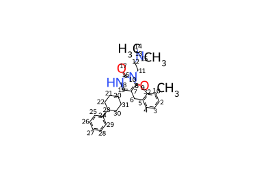 Cc1cccc(Cc2c(=O)n(CCN(C)C)c(=O)[nH]c2[C@H]2CC[C@H](c3ccccc3)CC2)c1